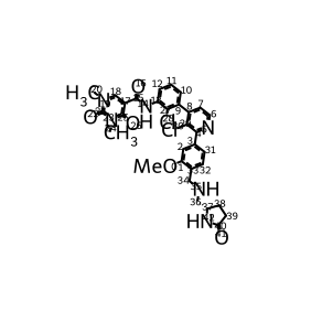 COc1cc(-c2nccc(-c3cccc(NC(=O)c4cn(C)c(=O)n(C)c4=O)c3Cl)c2Cl)ccc1CNC[C@@H]1CCC(=O)N1